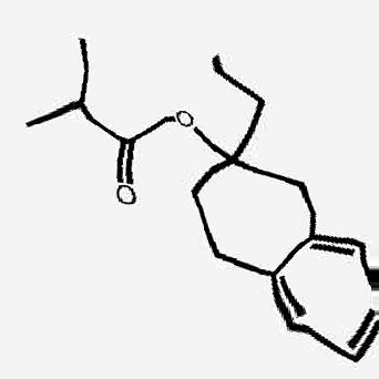 CCC1(OC(=O)C(C)C)CCc2ccccc2C1